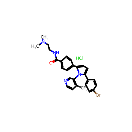 CN(C)CCNC(=O)c1ccc(-c2ccc(-c3ccc(Br)cc3)n2-c2cnccc2C(F)(F)F)cc1.Cl